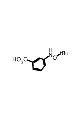 CC(C)(C)ONc1cccc(C(=O)O)c1